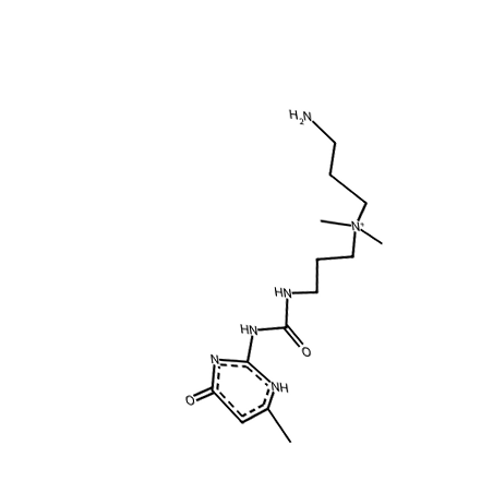 Cc1cc(=O)nc(NC(=O)NCCC[N+](C)(C)CCCN)[nH]1